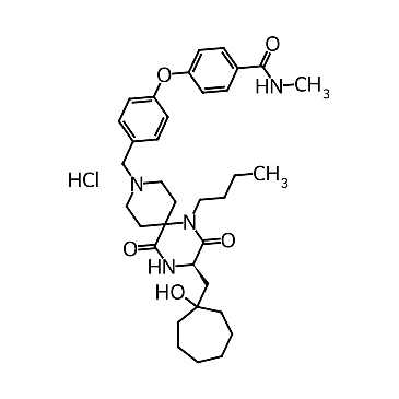 CCCCN1C(=O)[C@@H](CC2(O)CCCCCC2)NC(=O)C12CCN(Cc1ccc(Oc3ccc(C(=O)NC)cc3)cc1)CC2.Cl